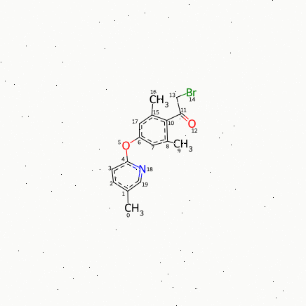 Cc1ccc(Oc2cc(C)c(C(=O)CBr)c(C)c2)nc1